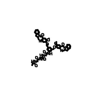 COc1cc2c(cc1OCc1cc(COc3cc4c(cc3OC)C(=O)N3c5ccccc5CC3C=N4)cc(NC(=O)CNC(=O)CNC(=O)CNC(=O)C(C)C)c1)N=CC1Cc3ccccc3N1C2=O